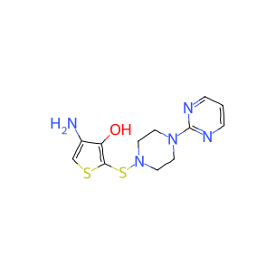 Nc1csc(SN2CCN(c3ncccn3)CC2)c1O